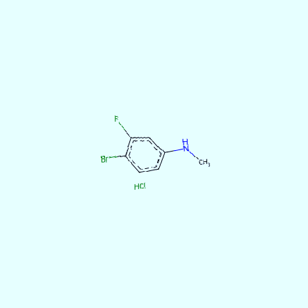 CNc1ccc(Br)c(F)c1.Cl